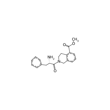 COC(=O)c1cccc2c1CCN(C(=O)[C@@H](N)Cc1ccccc1)C2